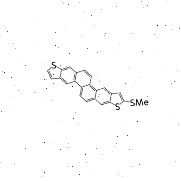 CSc1cc2cc3c(ccc4c5cc6ccsc6cc5ccc34)cc2s1